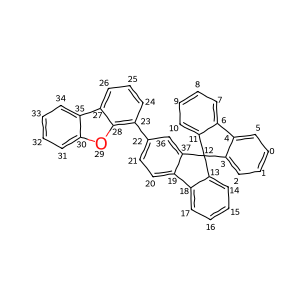 c1ccc2c(c1)-c1ccccc1C21c2ccccc2-c2ccc(-c3cccc4c3oc3ccccc34)cc21